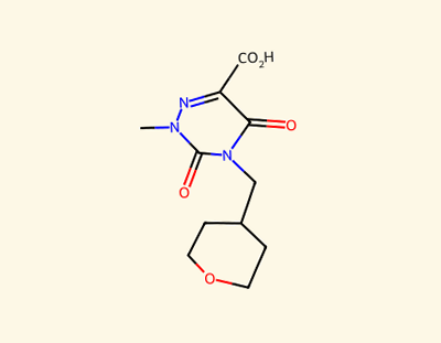 Cn1nc(C(=O)O)c(=O)n(CC2CCOCC2)c1=O